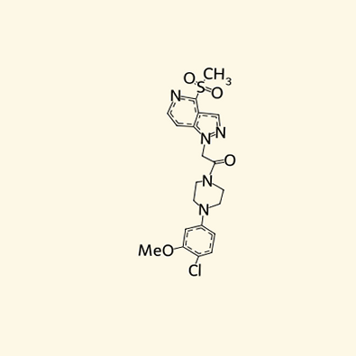 COc1cc(N2CCN(C(=O)Cn3ncc4c(S(C)(=O)=O)nccc43)CC2)ccc1Cl